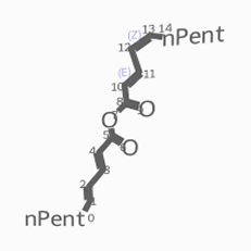 CCCCCC=CC=CC(=O)OC(=O)/C=C/C=C\CCCCC